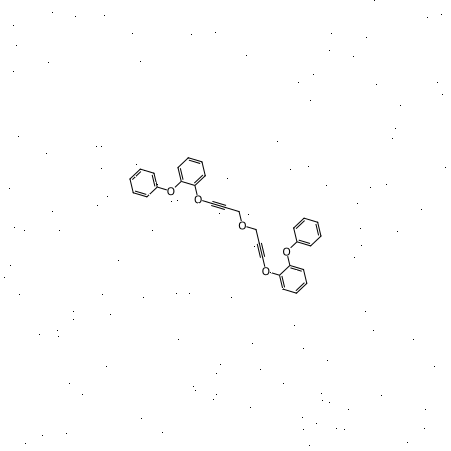 C(#COc1ccccc1Oc1ccccc1)COCC#COc1ccccc1Oc1ccccc1